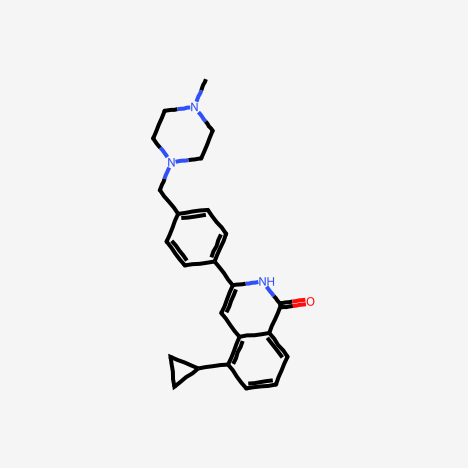 CN1CCN(Cc2ccc(-c3cc4c(C5CC5)cccc4c(=O)[nH]3)cc2)CC1